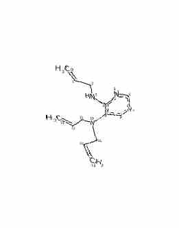 C=CCNc1ncncc1N(CC=C)CC=C